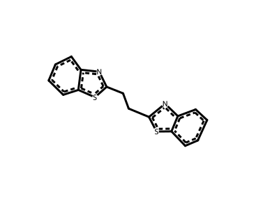 c1ccc2sc(CCc3nc4ccccc4s3)nc2c1